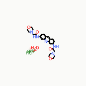 Cl.Cl.Cl.O.O.O=C(CN1CCOCC1)Nc1ccc2cc3ccc(NC(=O)CN4CCOCC4)cc3nc2c1